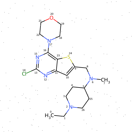 CCN1CCC(N(C)Cc2cc3nc(Cl)nc(N4CCOCC4)c3s2)CC1